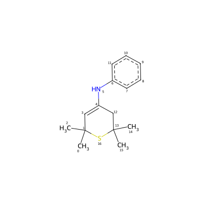 CC1(C)C=C(Nc2ccccc2)CC(C)(C)S1